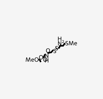 COC(C)OC(=O)CNC(=O)CCSSC[C@@H](N)CCSC